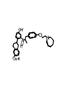 CC(Cc1ccc(OCCN2CCCCCC2)cc1)Nc1cc(O)ccc1C1CCc2cc(O)ccc2C1